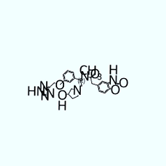 CN(C(=O)Cc1ccc2oc(=O)[nH]c2c1)[C@@H](CN1CCC(O)C1)c1cccc(OCc2nn[nH]n2)c1